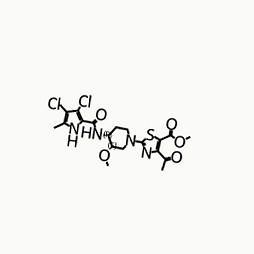 COC(=O)c1sc(N2CC[C@@H](NC(=O)c3[nH]c(C)c(Cl)c3Cl)[C@@H](OC)C2)nc1C(C)=O